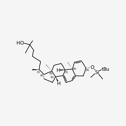 C[C@@H](CCCC(C)(C)O)[C@H]1CC[C@H]2C3=CC=C4C[C@@H](O[Si](C)(C)C(C)(C)C)C=C[C@]4(C)[C@H]3CC[C@]12C